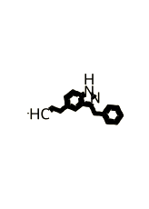 [CH]=CCc1ccc2[nH]nc(Cc3ccccc3)c2c1